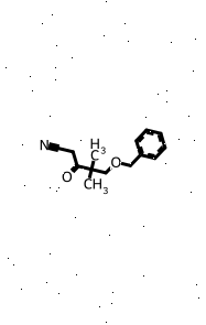 CC(C)(COCc1ccccc1)C(=O)CC#N